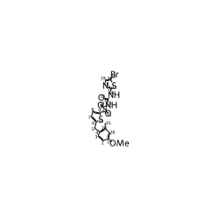 COc1ccc(Cc2ccc(S(=O)(=O)NC(=O)Nc3ncc(Br)s3)s2)c(C)c1